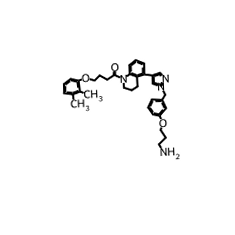 Cc1cccc(OCCCC(=O)N2CCCc3c(-c4cnn(Cc5cccc(OCCCN)c5)c4)cccc32)c1C